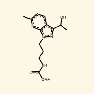 COC(=O)NCCCn1nc(C(C)O)c2ccc(C)nc21